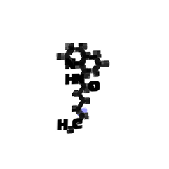 C/C=C/CCC(=O)Nc1cccc2cccnc12